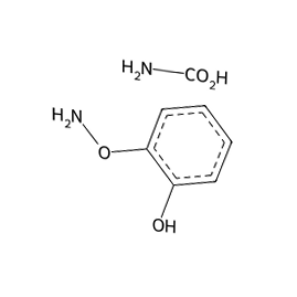 NC(=O)O.NOc1ccccc1O